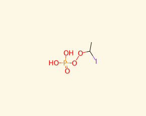 CC(I)OOP(=O)(O)O